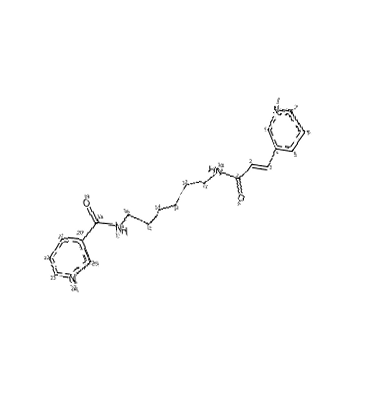 O=C(/C=C/c1cccnc1)NCCCCCCNC(=O)c1cccnc1